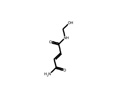 NC(=O)/C=C/C(=O)NCO